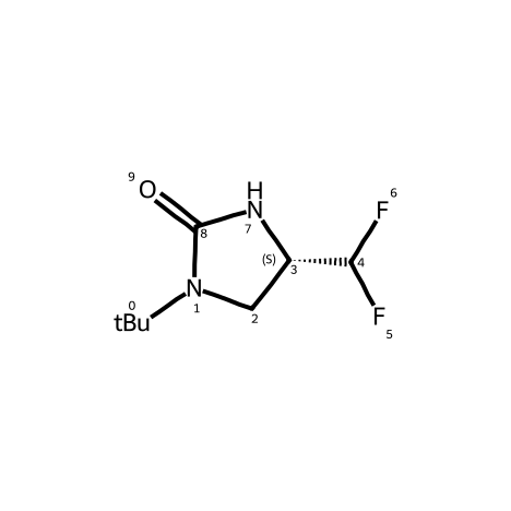 CC(C)(C)N1C[C@@H](C(F)F)NC1=O